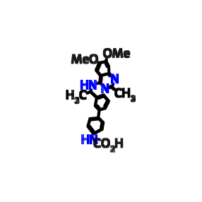 COc1cc2nc(C)nc(NC(C)c3cccc(-c4ccc(NC(=O)O)cc4)c3)c2cc1OC